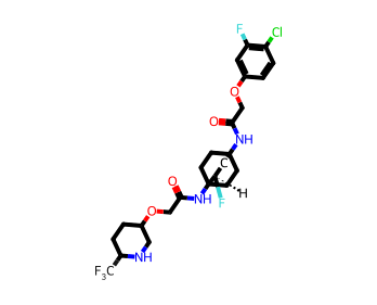 O=C(COc1ccc(Cl)c(F)c1)NC12CCC(NC(=O)COC3CCC(C(F)(F)F)NC3)(CC1)[C@H](F)C2